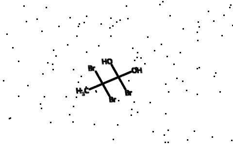 CC(Br)(Br)C(O)(O)Br